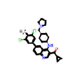 Cc1c(Cl)cc(-c2ccc3ncc(C(=O)C4CC4)c(N[C@H]4CC[C@H](CN5CCCC5)CC4)c3c2)cc1Cl